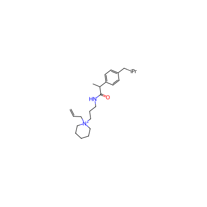 C=CC[N+]1(CCCNC(=O)C(C)c2ccc(CC(C)C)cc2)CCCCC1